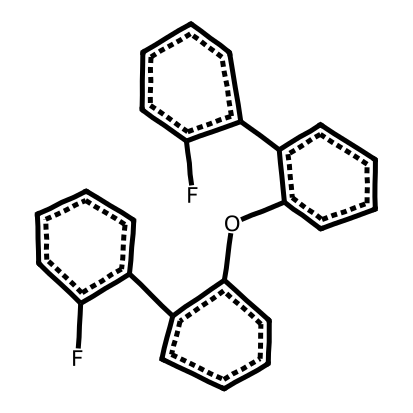 Fc1ccccc1-c1ccccc1Oc1ccccc1-c1ccccc1F